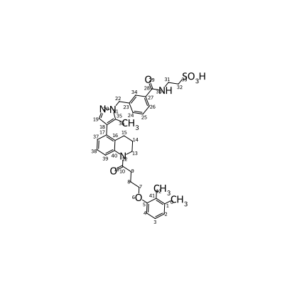 Cc1cccc(OCCCC(=O)N2CCCc3c(-c4cnn(Cc5cccc(C(=O)NCCS(=O)(=O)O)c5)c4C)cccc32)c1C